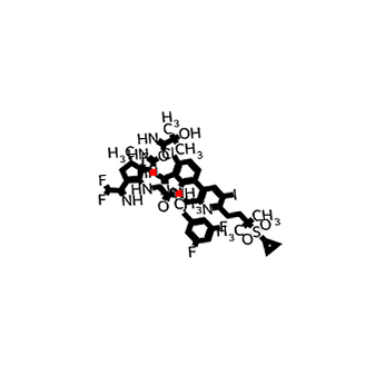 C[C@@H]1CC(C(=N)C(F)F)=C(NCC(=O)N[C@@H](Cc2cc(F)cc(F)c2)c2nc(CCC(C)(C)S(=O)(=O)C3CC3)c(I)cc2-c2ccc(Cl)c3c(NC(=N)OC(=N)C(C)(C)O)nn(C)c23)C1(F)F